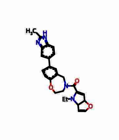 CCN1C(C(=O)N2CCOc3ccc(-c4ccc5[nH]c(C)nc5c4)cc3C2)=CC2OC=CC21